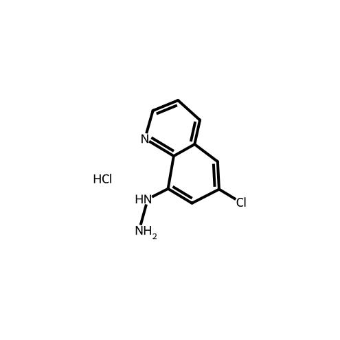 Cl.NNc1cc(Cl)cc2cccnc12